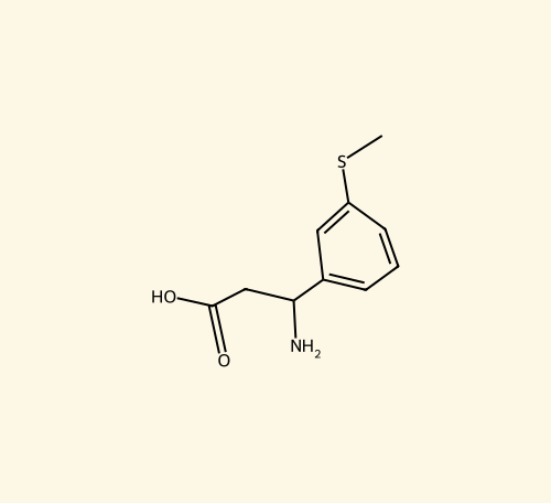 CSc1cccc(C(N)CC(=O)O)c1